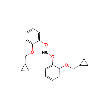 B(Oc1ccccc1OCC1CC1)Oc1ccccc1OCC1CC1